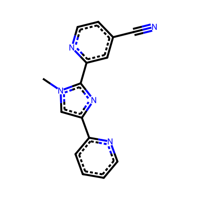 Cn1cc(-c2ccccn2)nc1-c1cc(C#N)ccn1